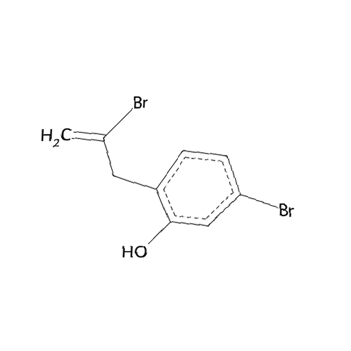 C=C(Br)Cc1ccc(Br)cc1O